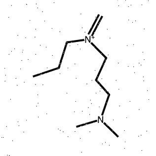 C=[N+](CCC)CCCN(C)C